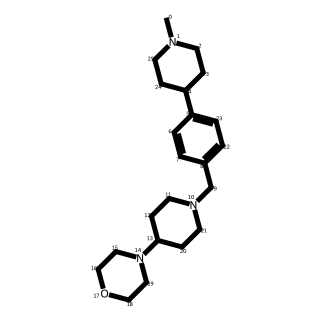 CN1CCC(c2ccc(CN3CCC(N4CCOCC4)CC3)cc2)CC1